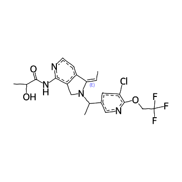 C/C=C1\c2ccnc(NC(=O)C(C)O)c2CN1C(C)c1cnc(OCC(F)(F)F)c(Cl)c1